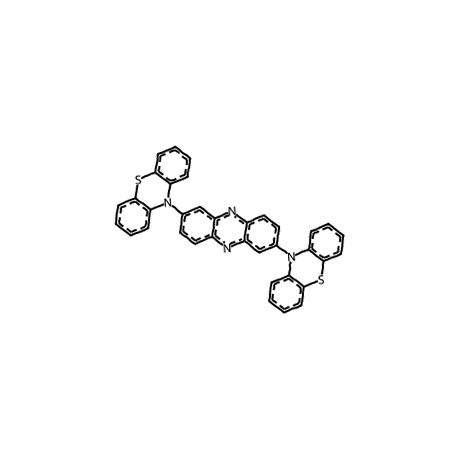 c1ccc2c(c1)Sc1ccccc1N2c1ccc2nc3cc(N4c5ccccc5Sc5ccccc54)ccc3nc2c1